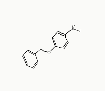 FBc1ccc(OCc2ccccc2)cc1